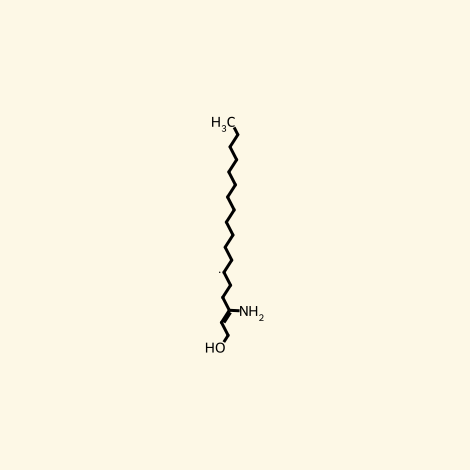 CCCCCCCCCCCC[CH]CCC(N)=CCO